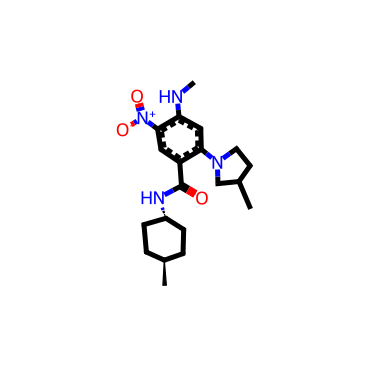 CNc1cc(N2CCC(C)C2)c(C(=O)N[C@H]2CC[C@H](C)CC2)cc1[N+](=O)[O-]